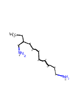 CCC(CN)CCCCCCCCN